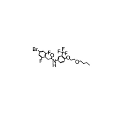 CCCCOCCOc1ccc(NC(=O)Cc2c(F)cc(Br)cc2F)cc1C(F)(F)F